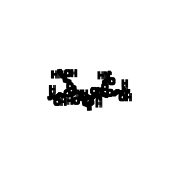 CNC(=O)COCC(COCCC(O)NC)NC(O)c1cc(C)cc(C(O)NC(COCCC(O)NC)COCCC(O)NC)c1